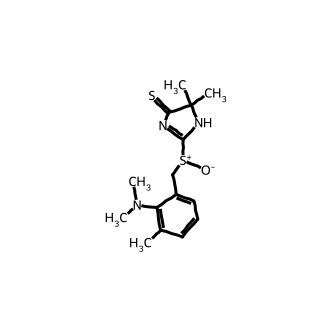 Cc1cccc(C[S+]([O-])C2=NC(=S)C(C)(C)N2)c1N(C)C